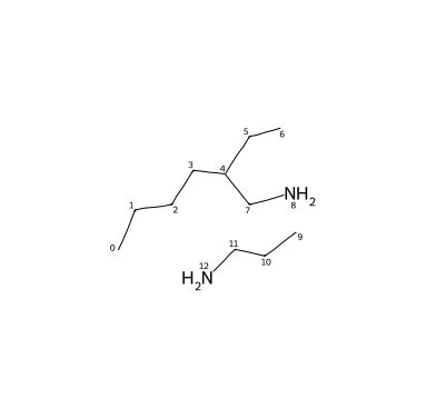 CCCCC(CC)CN.CCCN